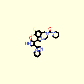 O=C1NCC(c2cnc3ccccn23)=C1c1cn2c3c(cc(F)c(F)c13)CN(C(=O)N1CCCCC1)CC2